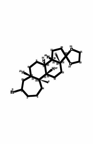 CCC1CCC[C@@]2(C)[C@@H](CC[C@@H]3[C@@H]2CC[C@@]2(C)[C@H]3CCC23OCCO3)C1